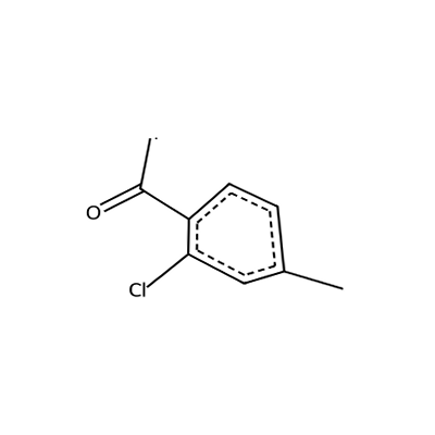 [CH2]C(=O)c1ccc(C)cc1Cl